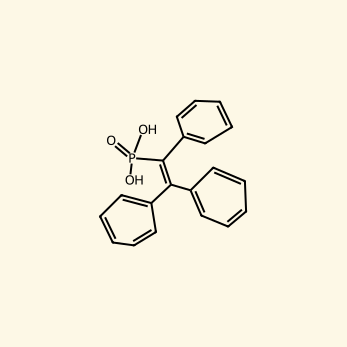 O=P(O)(O)C(=C(c1ccccc1)c1ccccc1)c1ccccc1